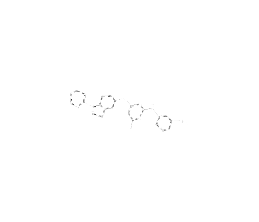 Cc1cc(Oc2ccc3c(ccn3-c3ccccn3)c2)nc(Nc2cccc(N)c2)n1